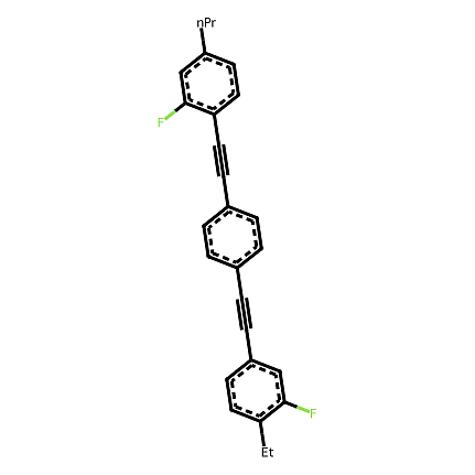 CCCc1ccc(C#Cc2ccc(C#Cc3ccc(CC)c(F)c3)cc2)c(F)c1